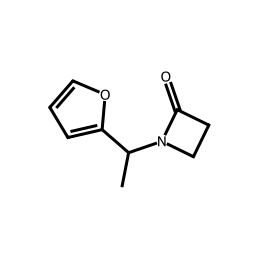 CC(c1ccco1)N1CCC1=O